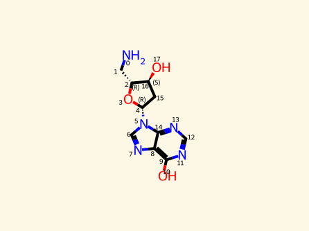 NC[C@H]1O[C@@H](n2cnc3c(O)ncnc32)C[C@@H]1O